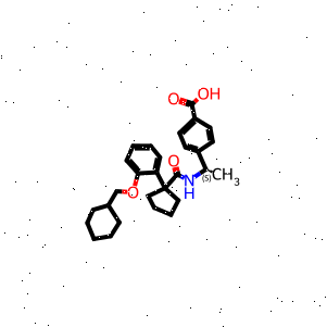 C[C@H](NC(=O)C1(c2ccccc2OCC2CCCCC2)CCCC1)c1ccc(C(=O)O)cc1